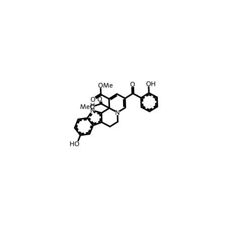 COC(=O)C1=CC(C(=O)c2ccccc2O)=CN2CCc3c([nH]c4ccc(O)cc34)C12C(=O)OC